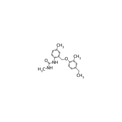 CCc1ccc(OCc2cc(C)ccc2NC(=O)NC)c(C)c1